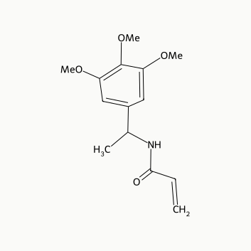 C=CC(=O)NC(C)c1cc(OC)c(OC)c(OC)c1